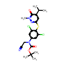 CC(C)c1cc(Sc2c(Cl)cc(N(CC#N)C(=O)OC(C)(C)C)cc2Cl)nn(C)c1=O